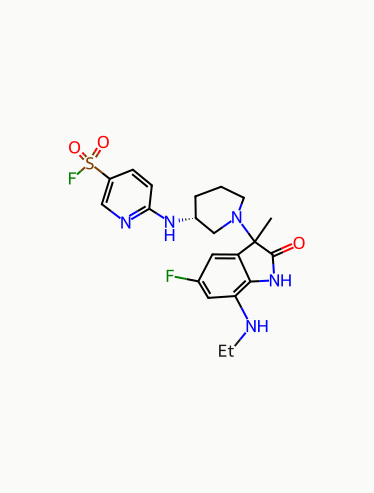 CCNc1cc(F)cc2c1NC(=O)C2(C)N1CCC[C@@H](Nc2ccc(S(=O)(=O)F)cn2)C1